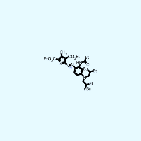 CCCCC(CC)CN(CC(CC)CCCC)c1ccc(/N=N/c2sc(C(=O)OCC)c(C)c2C(=O)OCC)c(NC(=O)CC)c1